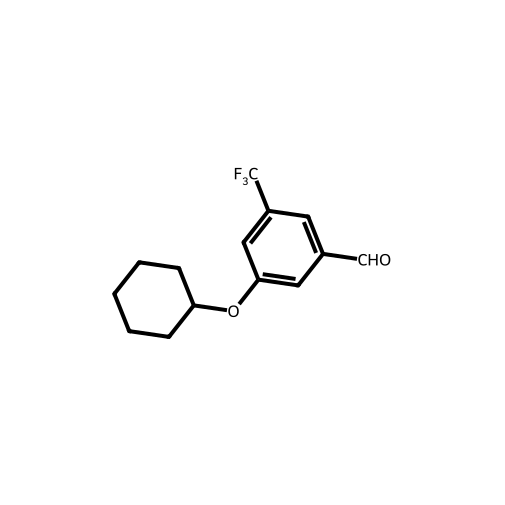 O=Cc1cc(OC2CCCCC2)cc(C(F)(F)F)c1